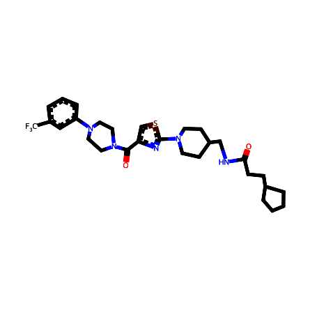 O=C(CCC1CCCC1)NCC1CCN(c2nc(C(=O)N3CCN(c4cccc(C(F)(F)F)c4)CC3)cs2)CC1